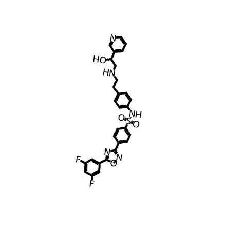 O=S(=O)(Nc1ccc(CCNCC(O)c2cccnc2)cc1)c1ccc(-c2noc(-c3cc(F)cc(F)c3)n2)cc1